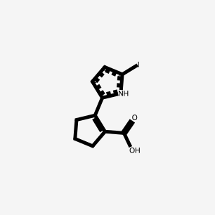 O=C(O)C1=C(c2ccc(I)[nH]2)CCC1